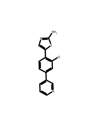 Nc1ncc(-c2ccc(-c3cccnc3)cc2Cl)s1